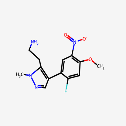 COc1cc(F)c(-c2cnn(C)c2CCN)cc1[N+](=O)[O-]